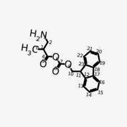 CC(CN)C(=O)OC(=O)OCC1c2ccccc2-c2ccccc21